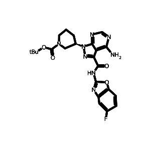 CC(C)(C)OC(=O)N1CCC[C@@H](n2nc(C(=O)Nc3nc4cc(F)ccc4o3)c3c(N)ncnc32)C1